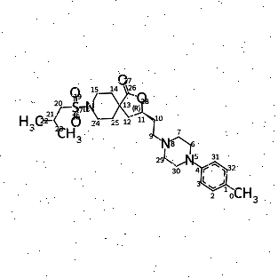 Cc1ccc(N2CCN(CC[C@H]3CC4(CCN(S(=O)(=O)CC(C)C)CC4)C(=O)O3)CC2)cc1